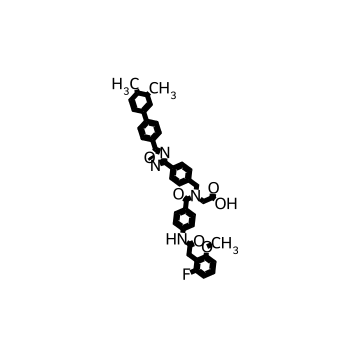 COc1cccc(F)c1CC(=O)Nc1ccc(C(=O)N(CC(=O)O)Cc2ccc(-c3noc(-c4ccc(C5=CC(C)C(C)C=C5)cc4)n3)cc2)cc1